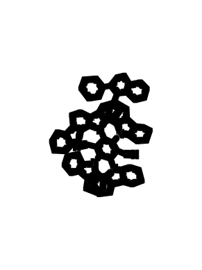 N#Cc1c(-n2c3ccccc3c3ccccc32)c(-n2c3ccccc3c3ccccc32)c(C#N)c(-n2c3ccc(-c4c(-c5ccccc5)ccc5ccccc45)cc3c3ccc4c5ccccc5sc4c32)c1-n1c2ccccc2c2ccccc21